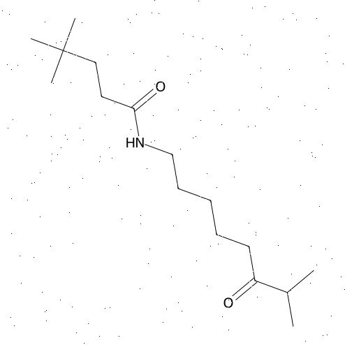 CC(C)C(=O)CCCCCNC(=O)CCC(C)(C)C